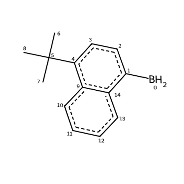 Bc1ccc(C(C)(C)C)c2ccccc12